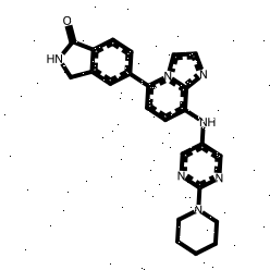 O=C1NCc2cc(-c3ccc(Nc4cnc(N5CCCCC5)nc4)c4nccn34)ccc21